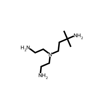 CC(C)(N)CCN(CCN)CCN